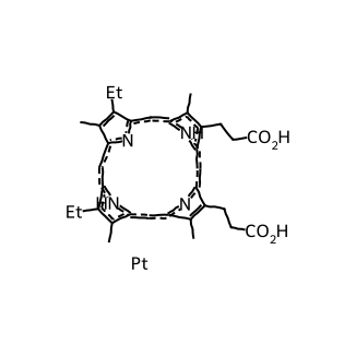 CCC1=C(C)c2cc3[nH]c(cc4nc(cc5[nH]c(cc1n2)c(C)c5CCC(=O)O)C(CCC(=O)O)=C4C)c(C)c3CC.[Pt]